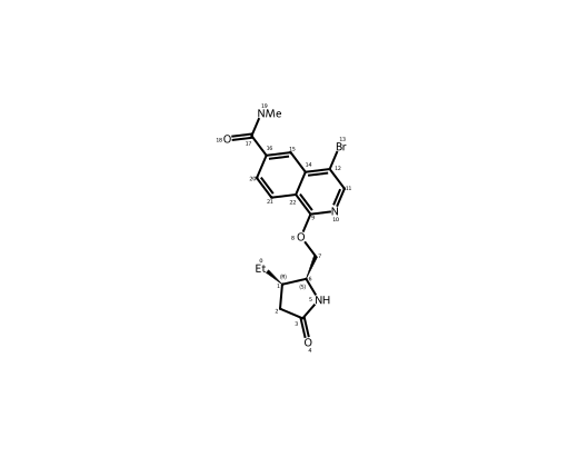 CC[C@@H]1CC(=O)N[C@@H]1COc1ncc(Br)c2cc(C(=O)NC)ccc12